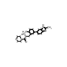 CCCN(Cc1cc(-c2ccc3nc(C)[nH]c3c2)ccc1C)C(=O)N1CCOCC1